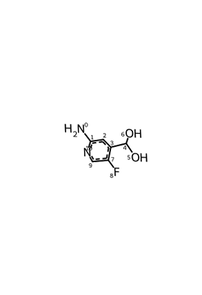 Nc1cc(C(O)O)c(F)cn1